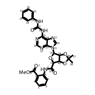 COC(=O)c1ccccc1NC(=O)C1OC(n2cnc3c(NC(=O)Nc4ccccc4)ncnc32)C2OC(C)(C)OC12